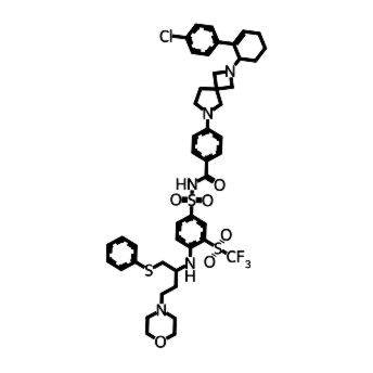 O=C(NS(=O)(=O)c1ccc(NC(CCN2CCOCC2)CSc2ccccc2)c(S(=O)(=O)C(F)(F)F)c1)c1ccc(N2CCC3(C2)CN(C2CCCC=C2c2ccc(Cl)cc2)C3)cc1